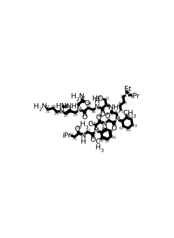 CCN(CCCC[C@@H](C(=O)NC(CO)C(=O)NCCC(=O)N(CC(N)=O)CC1=CN(CCCN)NN1)N(C(=O)CNC(=O)[C@H](C)N(C(=O)CNC(=O)CC(C)C)c1ccccc1C)C1CCCCC1C)C(C)C